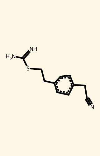 N#CCc1ccc(CCSC(=N)N)cc1